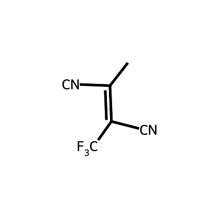 [C-]#[N+]/C(C)=C(/C#N)C(F)(F)F